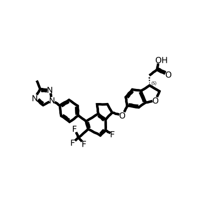 Cc1ncn(-c2ccc(-c3c(C(F)(F)F)cc(F)c4c3CCC4Oc3ccc4c(c3)OC[C@H]4CC(=O)O)cc2)n1